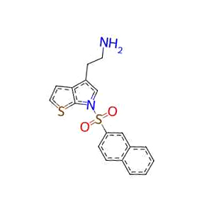 NCCc1cn(S(=O)(=O)c2ccc3ccccc3c2)c2sccc12